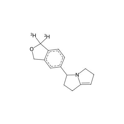 [2H]C1([2H])OCc2cc(C3CCC4=CCCN43)ccc21